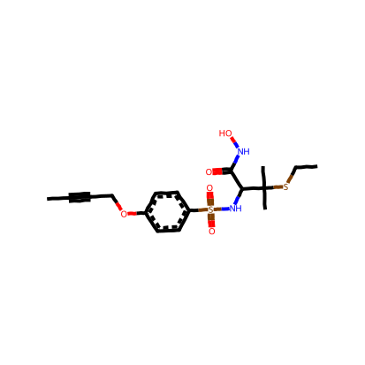 CC#CCOc1ccc(S(=O)(=O)NC(C(=O)NO)C(C)(C)SCC)cc1